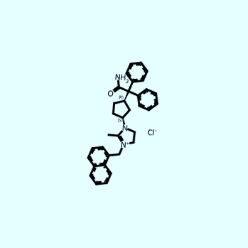 CC1=[N+](Cc2cccc3ccccc23)CCN1[C@H]1CC[C@@H](C(C(N)=O)(c2ccccc2)c2ccccc2)C1.[Cl-]